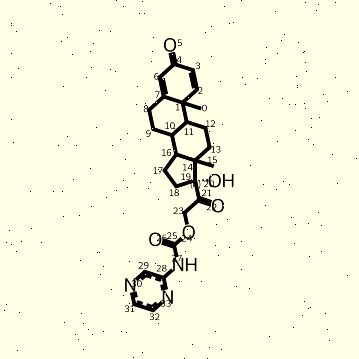 CC12C=CC(=O)C=C1CCC1C2CCC2(C)C1CC[C@]2(O)C(=O)COC(=O)Nc1cnccn1